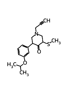 C#CCN1CC(SC)C(=O)C(c2cccc(OC(C)C)c2)C1